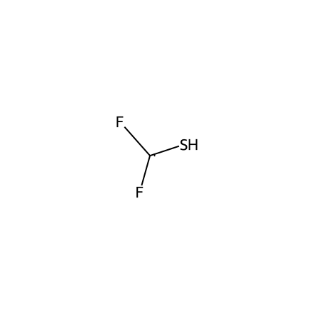 F[C](F)S